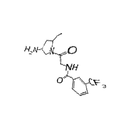 CC1CC(N)CN1C(=O)CNC(=O)c1cccc(C(F)(F)F)c1